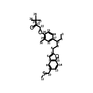 CCC(CCc1cc2cc(CSC)ccc2o1)c1ccc(OCC(=O)C(C)(C)C)c(C)c1